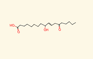 CCCCCC(=O)CC=CC(O)CCCCCCCC(=O)O